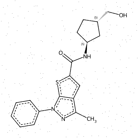 Cc1nn(-c2ccccc2)c2sc(C(=O)N[C@H]3CC[C@H](CO)C3)cc12